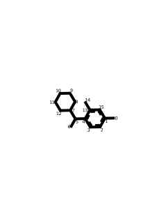 Cc1ccc(C(C)C2CCCCC2)c(C)c1